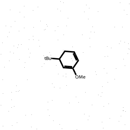 COC1=CC(C(C)(C)C)CC=C1